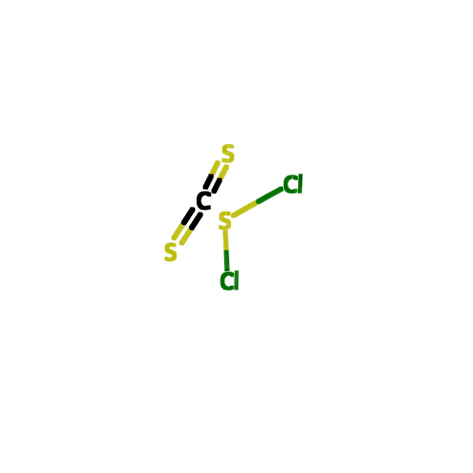 ClSCl.S=C=S